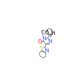 O=C(O)Cn1c(-c2ccccc2)ncc(-c2nc3c(s2)CCCC3)c1=O